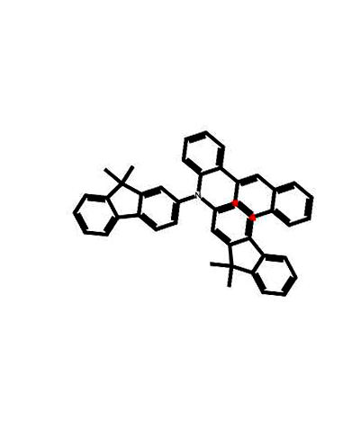 CC1(C)c2ccccc2-c2ccc(N(c3ccc4c(c3)C(C)(C)c3ccccc3-4)c3ccccc3-c3ccc4ccccc4c3)cc21